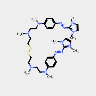 CN(CCSSCCN(C)CCN(C)c1ccc(/N=N/c2n(C)cc[n+]2C)cc1)CCN(C)c1ccc(/N=N/c2n(C)cc[n+]2C)cc1